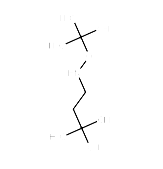 CC(C)(C)CCNOC(C)(C)C